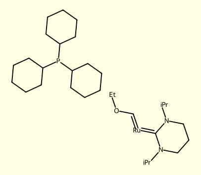 C1CCC(P(C2CCCCC2)C2CCCCC2)CC1.CCO[CH]=[Ru]=[C]1N(C(C)C)CCCN1C(C)C